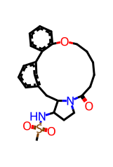 CS(=O)(=O)NC1CCN2C(=O)CCCCCOc3ccccc3-c3cccc(c3)CC12